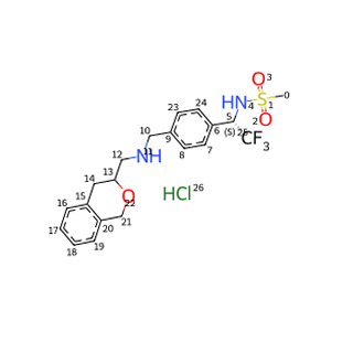 CS(=O)(=O)N[C@@H](c1ccc(CNCC2Cc3ccccc3CO2)cc1)C(F)(F)F.Cl